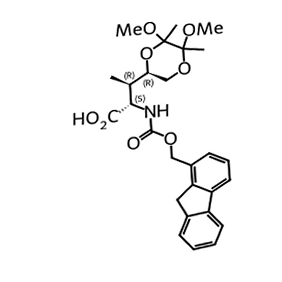 COC1(C)OC[C@@H]([C@H](C)[C@H](NC(=O)OCc2cccc3c2Cc2ccccc2-3)C(=O)O)OC1(C)OC